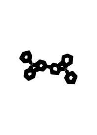 C1=Cc2c(c3c(n2-c2ccccc2)C=CC(c2ccc4c(c2)c2ccccc2n4-c2ccccc2)C3)CC1